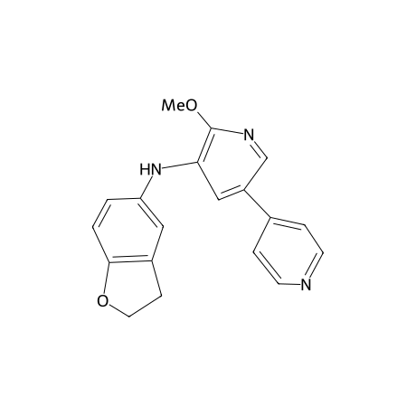 COc1ncc(-c2ccncc2)cc1Nc1ccc2c(c1)CCO2